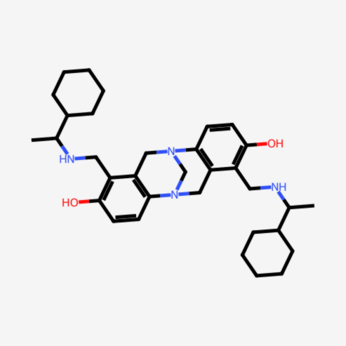 CC(NCc1c(O)ccc2c1CN1CN2Cc2c1ccc(O)c2CNC(C)C1CCCCC1)C1CCCCC1